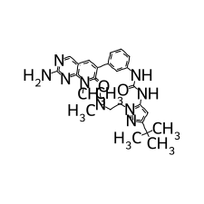 CN(C)CCn1nc(C(C)(C)C)cc1NC(=O)Nc1cccc(-c2cc3cnc(N)nc3n(C)c2=O)c1